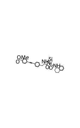 COC(=O)c1ccc(C#Cc2ccc(CC(N)C(=O)N3C[Si](C)(C)CC3C(=O)N[C@@H]3CCCc4ccccc43)cc2)cc1